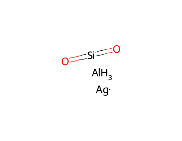 O=[Si]=O.[Ag].[AlH3]